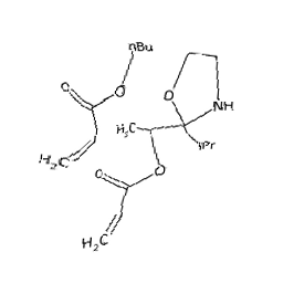 C=CC(=O)OC(C)C1(C(C)C)NCCO1.C=CC(=O)OCCCC